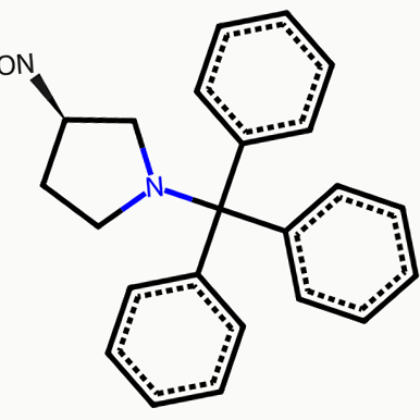 O=N[C@@H]1CCN(C(c2ccccc2)(c2ccccc2)c2ccccc2)C1